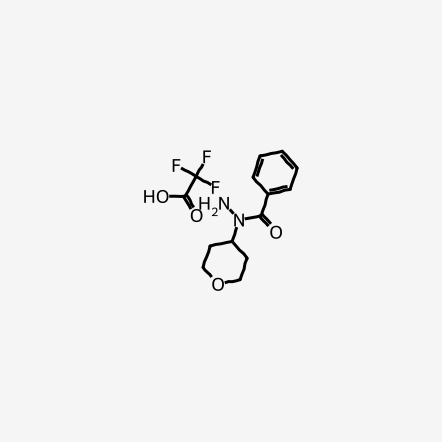 NN(C(=O)c1ccccc1)C1CCOCC1.O=C(O)C(F)(F)F